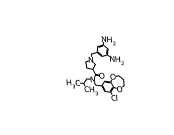 CC(C)CN(Cc1cc(Cl)c2c(c1)OCCCO2)C(=O)C1CCN(Cc2cc(N)cc(N)c2)C1